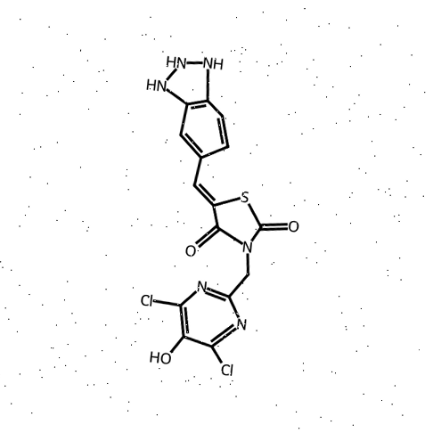 O=C1S/C(=C\c2ccc3c(c2)NNN3)C(=O)N1Cc1nc(Cl)c(O)c(Cl)n1